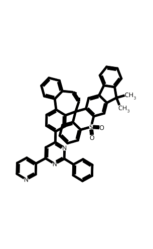 CC1(C)c2ccccc2-c2cc3c(cc21)S(=O)(=O)c1ccccc1C31c2ccccc2-c2ccccc2-c2ccc(-c3cc(-c4cccnc4)nc(-c4ccccc4)n3)cc21